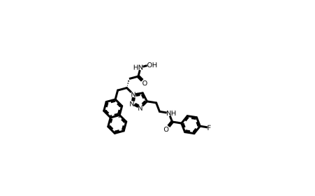 O=C(C[C@@H](Cc1ccc2ccccc2c1)n1cc(CCNC(=O)c2ccc(F)cc2)nn1)NO